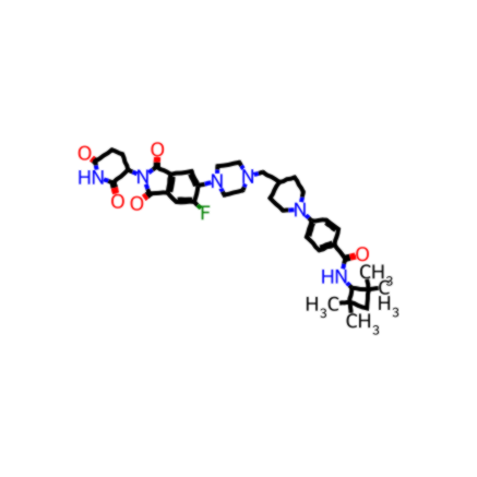 CC1(C)CC(C)(C)C1NC(=O)c1ccc(N2CCC(CN3CCN(c4cc5c(cc4F)C(=O)N(C4CCC(=O)NC4=O)C5=O)CC3)CC2)cc1